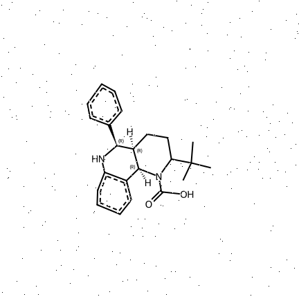 CC(C)(C)C1CC[C@@H]2[C@H](c3ccccc3)Nc3ccccc3[C@@H]2N1C(=O)O